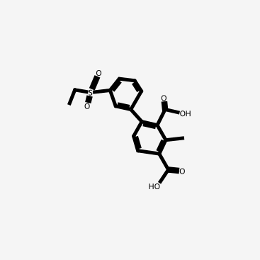 CCS(=O)(=O)c1cccc(-c2ccc(C(=O)O)c(C)c2C(=O)O)c1